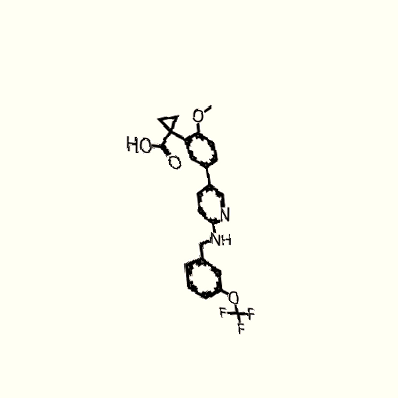 COc1ccc(-c2ccc(NCc3cccc(OC(F)(F)F)c3)nc2)cc1C1(C(=O)O)CC1